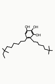 CCC(C)(C)CCCCCCc1cc(O)c(O)c(O)c1CCCCCC(C)(C)C